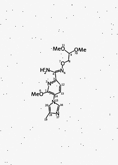 COc1nc(/C(N)=N/OCC(OC)OC)ccc1-n1cnc(C)c1